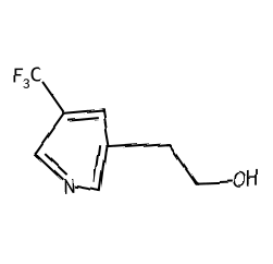 OCCc1cncc(C(F)(F)F)c1